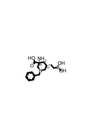 N[C@]1(C(=O)O)C[C@H](CCB(O)O)CN(Cc2ccccc2)C1